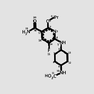 CC(C)Oc1nc(NC2CCC(NC(=O)O)CC2)c(F)cc1C(N)=O